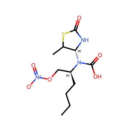 CCCC[C@@H](CO[N+](=O)[O-])N(C(=O)O)[C@H]1NC(=O)SC1C